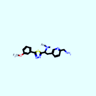 CC(=O)N(C)C(Cc1ccc(CN)nc1)c1nnc(-c2cccc(OC(F)(F)F)c2)s1